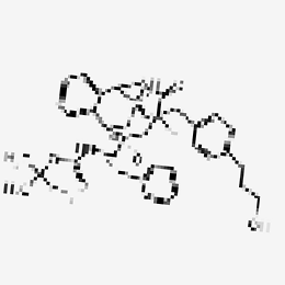 CC(C)(C)OC(=O)N[C@@H](Cc1ccccc1)[C@]1(O)C[C@@H](Cc2ccc(CCCO)cc2)C(=O)NC2c3ccccc3C1CS2(=O)=O